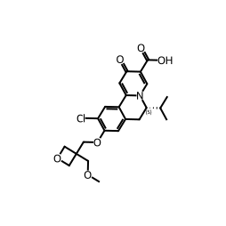 COCC1(COc2cc3c(cc2Cl)-c2cc(=O)c(C(=O)O)cn2[C@H](C(C)C)C3)COC1